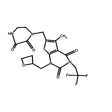 Cc1c(CN2CCNC(=O)C2=O)sc2c1c(=O)n(CC(F)(F)F)c(=O)n2CC1CCO1